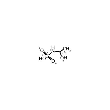 CC(O)NS(=O)(=O)O